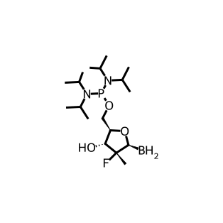 B[C@@H]1O[C@H](COP(N(C(C)C)C(C)C)N(C(C)C)C(C)C)[C@@H](O)[C@@]1(C)F